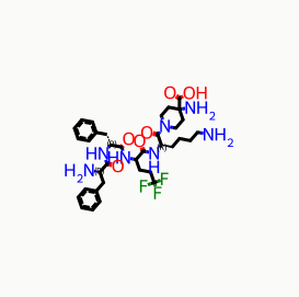 NCCCC[C@@H](NC(=O)C(CCC(F)(F)F)NC(=O)[C@@H](Cc1ccccc1)NC(=O)[C@H](N)Cc1ccccc1)C(=O)N1CCC(N)(C(=O)O)CC1